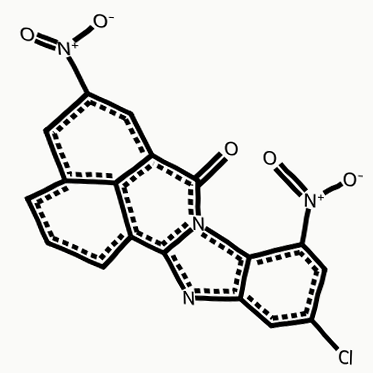 O=c1c2cc([N+](=O)[O-])cc3cccc(c32)c2nc3cc(Cl)cc([N+](=O)[O-])c3n12